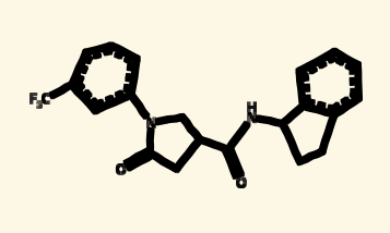 O=C(NC1CCc2ccccc21)C1CC(=O)N(c2cccc(C(F)(F)F)c2)C1